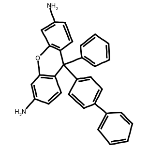 Nc1ccc2c(c1)Oc1cc(N)ccc1C2(c1ccccc1)c1ccc(-c2ccccc2)cc1